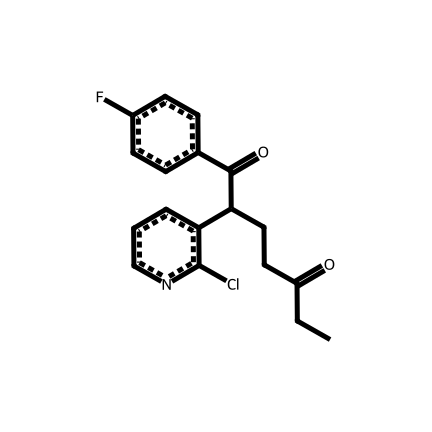 CCC(=O)CCC(C(=O)c1ccc(F)cc1)c1cccnc1Cl